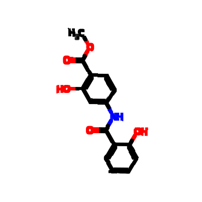 COC(=O)c1ccc(NC(=O)c2c[c]ccc2O)cc1O